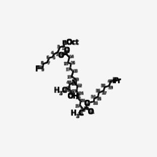 CCCCCCCCC(CCCCCCCCF)OC(=O)CCCCCCCN(CCCCCCC(C)C(=O)OCCCCCCCCC(C)C)CC(C)CO